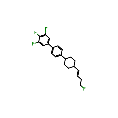 FCCC=CC1CCC(c2ccc(-c3cc(F)c(F)c(F)c3)cc2)CC1